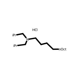 CCCCCCCCCCCCN(CC(C)C)CC(C)C.Cl